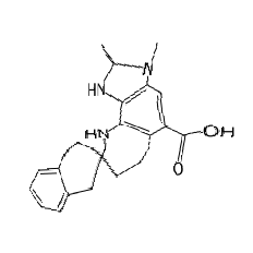 CC1Nc2c(cc(C(=O)O)c3c2NC2(CC3)Cc3ccccc3C2)N1C